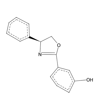 Oc1cccc(C2=N[C@@H](c3ccccc3)CO2)c1